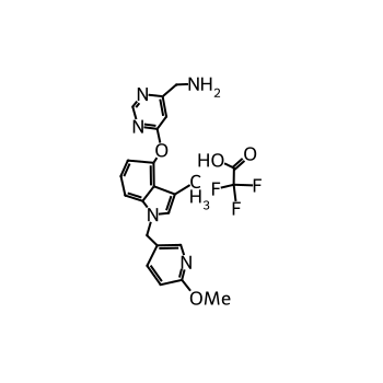 COc1ccc(Cn2cc(C)c3c(Oc4cc(CN)ncn4)cccc32)cn1.O=C(O)C(F)(F)F